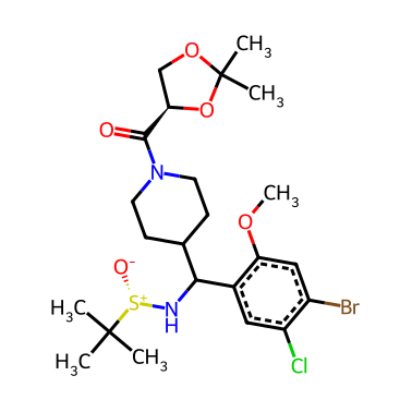 COc1cc(Br)c(Cl)cc1C(N[S@@+]([O-])C(C)(C)C)C1CCN(C(=O)[C@H]2COC(C)(C)O2)CC1